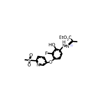 CCOC(=O)/C(C)=N\Nc1ccc(Oc2ccc(S(C)(=O)=O)nc2)c(F)c1O